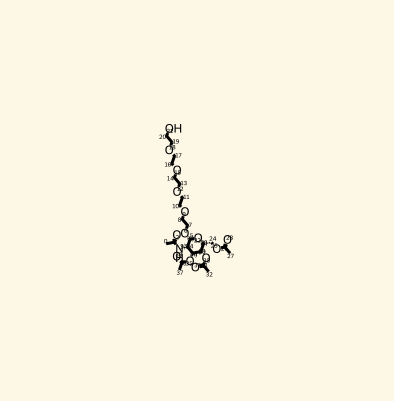 CC(=O)N[C@@H]1[C@@H](OCCOCCOCCOCCOCCO)O[C@H](COC(C)=O)[C@H](OC(C)=O)[C@@H]1OC(C)=O